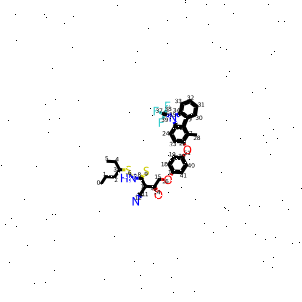 CCCC(CC)SNC(=S)C(C#N)C(=O)COc1ccc(Oc2ccc3c(c2C)c2ccccc2n3C(F)(F)F)cc1